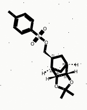 Cc1ccc(S(=O)(=O)OC[C@H]2C[C@@H]3C[C@H]2[C@H]2OC(C)(C)O[C@@H]32)cc1